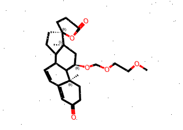 COCCOCO[C@@H]1C[C@@]2(C)C(CC[C@@]23CCC(=O)O3)C2C=CC3=CC(=O)CC[C@]3(C)C21